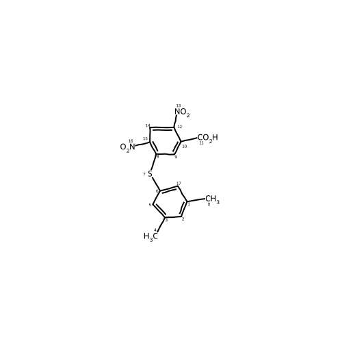 Cc1cc(C)cc(Sc2cc(C(=O)O)c([N+](=O)[O-])cc2[N+](=O)[O-])c1